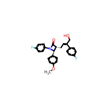 COc1ccc([C@@H]2[C@@H](C/C=C(/CO)c3ccc(F)cc3)C(=O)N2c2ccc(F)cc2)cc1